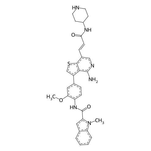 COc1cc(-c2csc3c(C=CC(=O)NC4CCNCC4)cnc(N)c23)ccc1NC(=O)c1cc2ccccc2n1C